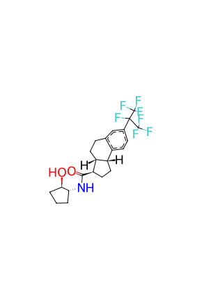 O=C(N[C@@H]1CCC[C@H]1O)[C@@H]1CC[C@H]2c3ccc(C(F)(C(F)(F)F)C(F)(F)F)cc3CC[C@@H]12